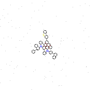 c1ccc(-c2ccc(-c3ccccc3N(c3cccc(-c4ccccc4N(c4ccc(-c5cccc6ccccc56)cc4)c4ccc5c(ccc6cc(-c7ccc8c(c7)sc7ccccc78)ccc65)c4)c3)c3ccc(-c4ccccc4)c4ccccc34)cc2)cc1